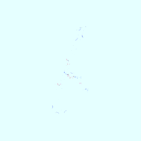 CC/C=C\C/C=C\C/C=C\CCCCCCCC(=O)OCCCN(CCCOC(=O)CCCCCCC/C=C\C/C=C\C/C=C\CC)C(=O)/C=C\C(=O)NCCOCCN(C)C